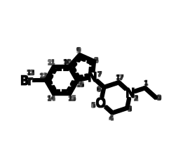 CCN1CCOC(n2ccc3cc(Br)ccc32)C1